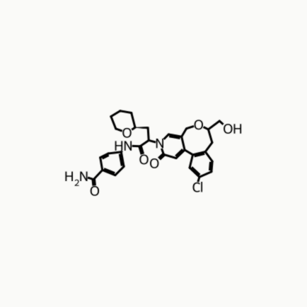 NC(=O)c1ccc(NC(=O)C(C[C@@H]2CCCCO2)n2cc3c(cc2=O)-c2cc(Cl)ccc2CC(CO)OC3)cc1